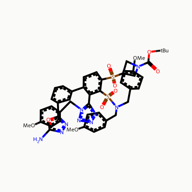 COc1ccc(CN(Cc2ccc(OC)cc2)S(=O)(=O)c2c(S(=O)(=O)C3CN(C(=O)OC(C)(C)C)C3)ccc(-c3cccc(-c4nnc(N)o4)c3)c2-c2nnnn2Cc2ccc(OC)cc2)cc1